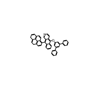 C1=Cc2ccc3c(-c4c5ccccc5c(Oc5cc(-c6ccccc6)cc(-c6ccccc6)c5)c5ccncc45)ccc4c3c2C(=CC4)C1